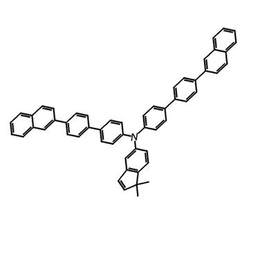 CC1(C)C=Cc2cc(N(c3ccc(-c4ccc(-c5ccc6ccccc6c5)cc4)cc3)c3ccc(-c4ccc(-c5ccc6ccccc6c5)cc4)cc3)ccc21